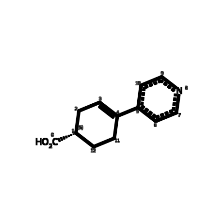 O=C(O)[C@@H]1CC=C(c2ccncc2)CC1